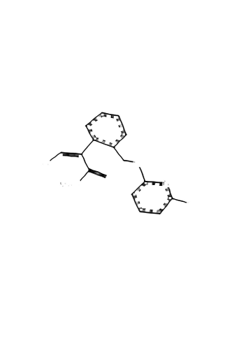 COC(=O)C(=CO)c1ccccc1COc1cccc(Cl)n1